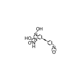 O=c1[nH]cnc(CN(CCO)c2ccc(C#Cc3ccc(CN4CCOCC4)cc3)cc2)c1O